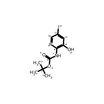 CC(C)(C)OC(=O)Nc1ncc(I)cc1O